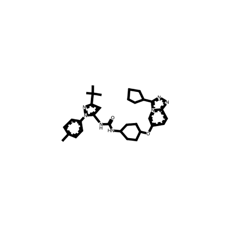 Cc1ccc(-n2nc(C(C)(C)C)cc2NC(=O)NC2CCC(Oc3ccc4nnc(C5CCCC5)n4c3)CC2)cc1